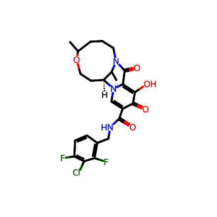 CC1CCCN2C(=O)c3c(O)c(=O)c(C(=O)NCc4ccc(F)c(Cl)c4F)cn3[C@@H](CCO1)C2C